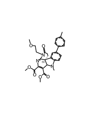 COCCN1C(=O)CC[C@@]23C1=NC(C(=O)OC)=C(C(=O)OC)C2N(C)c1ccc(-c2ccc(C)cc2)cc13